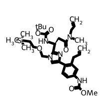 C=CCc1cc(NC(=O)OC)ccc1-c1cn(COCC[Si](C)(C)C)c([C@H](CC(=O)N(C)CC=C)NC(=O)OC(C)(C)C)n1